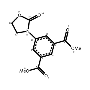 COC(=O)c1cc(C(=O)OC)cc(N2CCOC2=O)c1